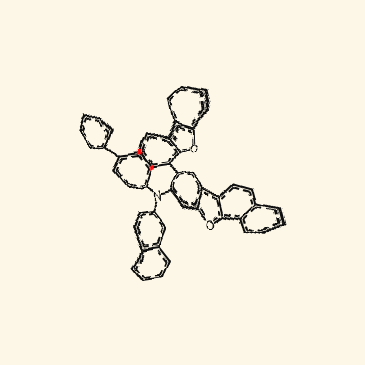 c1ccc(-c2ccc(N(c3ccc4ccccc4c3)c3cc4oc5c6ccccc6ccc5c4cc3-c3cccc4c3oc3ccccc34)cc2)cc1